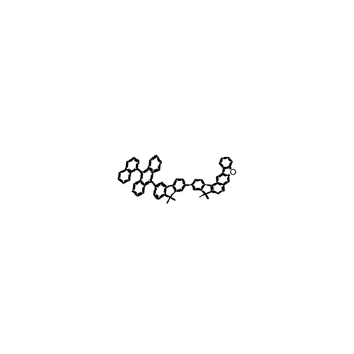 CC1(C)c2ccc(-c3c4ccccc4c(-c4cccc5ccccc45)c4ccccc34)cc2-c2ccc(-c3ccc4c(c3)C(C)(C)c3ccc5cc6oc7ccccc7c6cc5c3-4)cc21